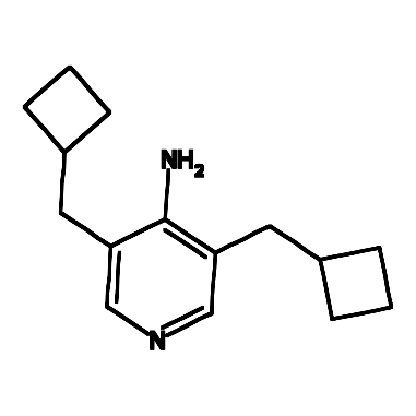 Nc1c(CC2CCC2)cncc1CC1CCC1